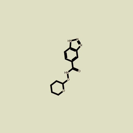 O=C(NOC1CCCCO1)c1ccc2[nH]nnc2c1